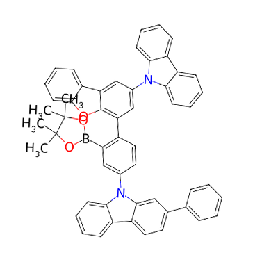 CC1(C)OB(c2cc(-n3c4ccccc4c4ccc(-c5ccccc5)cc43)ccc2-c2cc(-n3c4ccccc4c4ccccc43)cc3c2oc2ccccc23)OC1(C)C